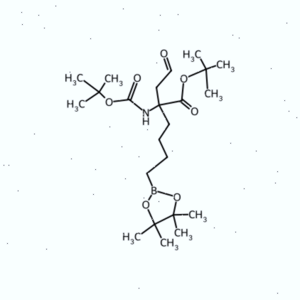 CC(C)(C)OC(=O)NC(CC=O)(CCCCB1OC(C)(C)C(C)(C)O1)C(=O)OC(C)(C)C